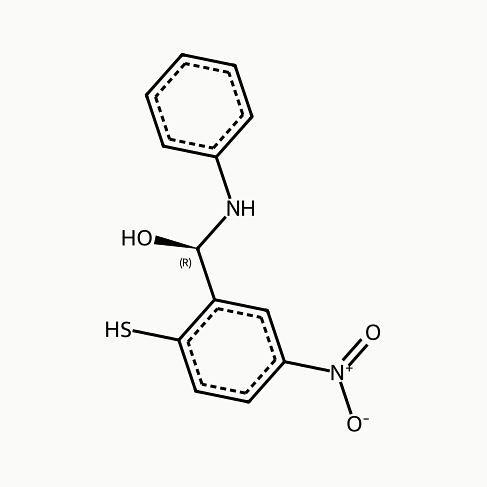 O=[N+]([O-])c1ccc(S)c([C@@H](O)Nc2ccccc2)c1